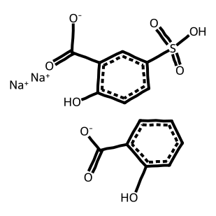 O=C([O-])c1cc(S(=O)(=O)O)ccc1O.O=C([O-])c1ccccc1O.[Na+].[Na+]